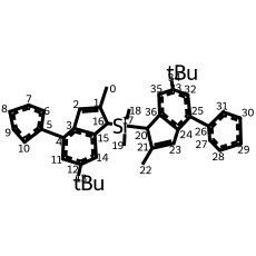 CC1=Cc2c(-c3ccccc3)cc(C(C)(C)C)cc2C1[Si](C)(C)C1C(C)=Cc2c(-c3ccccc3)cc(C(C)(C)C)cc21